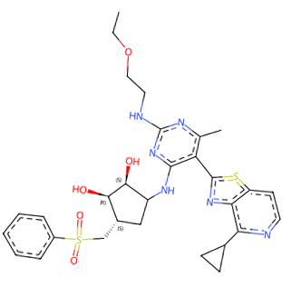 CCOCCNc1nc(C)c(-c2nc3c(C4CC4)nccc3s2)c(NC2C[C@H](CS(=O)(=O)c3ccccc3)[C@@H](O)[C@H]2O)n1